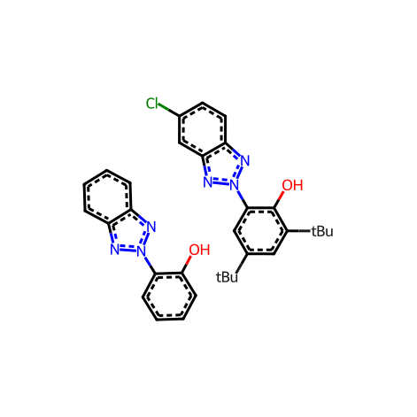 CC(C)(C)c1cc(-n2nc3ccc(Cl)cc3n2)c(O)c(C(C)(C)C)c1.Oc1ccccc1-n1nc2ccccc2n1